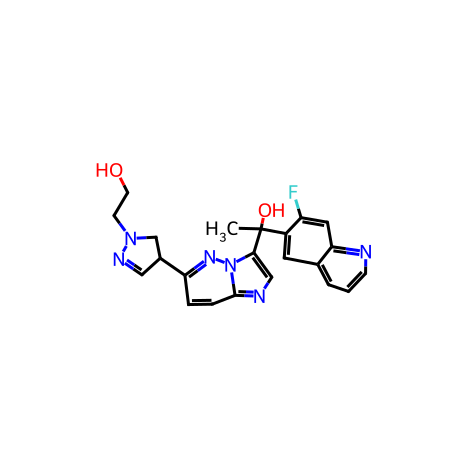 CC(O)(c1cc2cccnc2cc1F)c1cnc2ccc(C3C=NN(CCO)C3)nn12